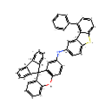 c1ccc(-c2cccc3sc4ccc(Nc5ccc6c(c5)C5(c7ccccc7O6)c6ccccc6-c6ccccc65)cc4c23)cc1